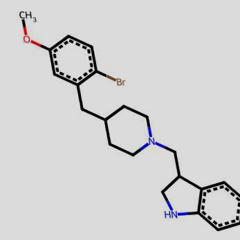 COc1ccc(Br)c(CC2CCN(CC3CNc4ccccc43)CC2)c1